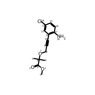 COC(=O)C(C)(C)OCC#Cc1cc(Cl)ccc1N